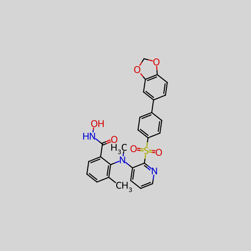 Cc1cccc(C(=O)NO)c1N(C)c1cccnc1S(=O)(=O)c1ccc(-c2ccc3c(c2)OCO3)cc1